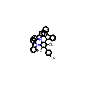 N#Cc1ccc(-c2c(C#N)c(C3c4ccccc4-c4ccccc43)c(-n3c4ccccc4c4cc5ccccc5cc43)c(-n3c4ccccc4c4ccccc43)c2C#N)cc1